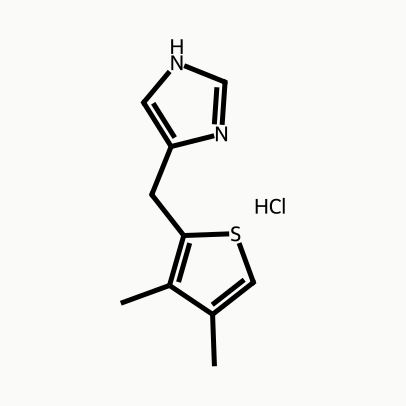 Cc1csc(Cc2c[nH]cn2)c1C.Cl